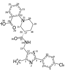 Cc1nc(-c2ccc(Cl)cc2)sc1CNC(=O)[C@H]1CCCN(c2ccccc2C(=O)O)C1